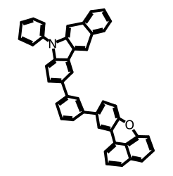 c1ccc(-n2c3ccc(-c4cccc(-c5ccc6c(c5)-c5cccc7cccc(c57)O6)c4)cc3c3cc4ccccc4cc32)cc1